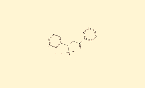 CCOC(=O)C(CC)(C(=O)O)C(CC(=O)c1ccccc1)c1ccccc1